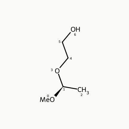 CO[C@H](C)OCCO